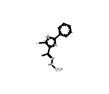 CC(=NNC(=O)O)c1nc(-c2ccccc2)[nH]c1I